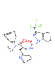 CN(C(=O)[C@H](Cc1ccccn1)NC(O)Cn1nc(C(F)(F)F)c2c1CCCC2)c1ccccc1